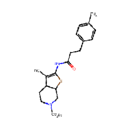 CCOC(=O)N1CCC2C(C#N)=C(NC(=O)CCc3ccc(C)cc3)SC2C1